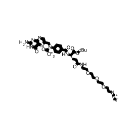 CC(C)(C)OC(=O)[C@H](CCC(=O)NCCOCCOCCOCCN=[N+]=[N-])NC(=O)c1ccc(N(Cc2cnc3nc(N)[nH]c(=O)c3n2)C(=O)C(F)(F)F)cc1